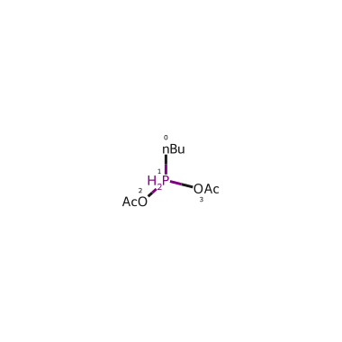 CCCC[PH2](OC(C)=O)OC(C)=O